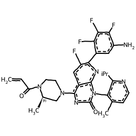 C=CC(=O)N1CCN(c2nc(=O)n(-c3c(C)ccnc3C(C)C)c3nc(-c4cc(N)c(F)c(F)c4F)c(F)cc23)C[C@H]1C